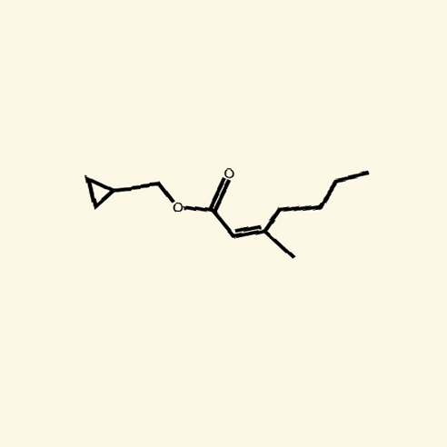 CCCC/C(C)=C\C(=O)OCC1CC1